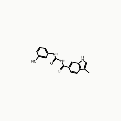 Cc1c[nH]c2cc(C(=O)NC(=O)Nc3cccc(C#N)c3)ccc12